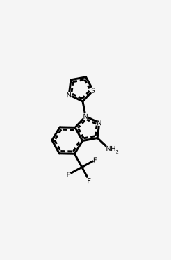 Nc1nn(-c2nccs2)c2cccc(C(F)(F)F)c12